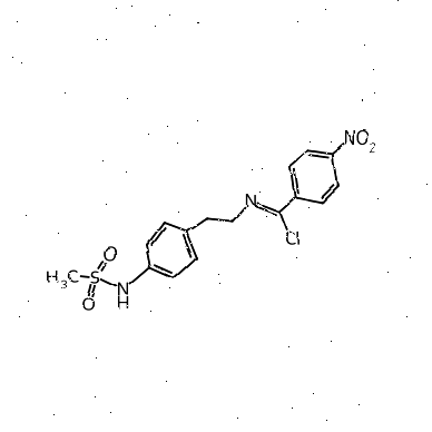 CS(=O)(=O)Nc1ccc(CCN=C(Cl)c2ccc([N+](=O)[O-])cc2)cc1